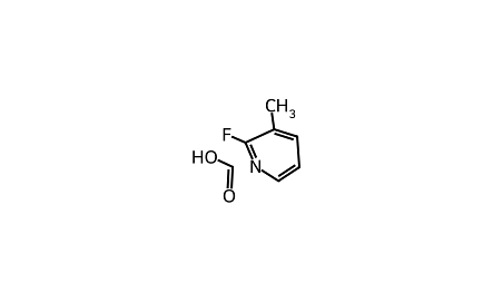 Cc1cccnc1F.O=CO